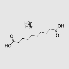 Br.Br.O=C(O)CCCCCCCCC(=O)O